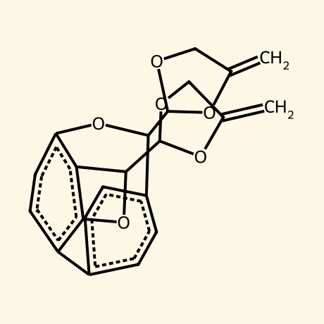 C=C1COC(C2Oc3ccc(c4c3C(C3OCC(=C)O3)O4)-c3ccc2cc3)O1